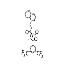 C[C@H]1[C@@H](c2cc(C(F)(F)F)cc(C(F)(F)F)c2)OC(=O)N1C(=O)CCc1cccc2ccccc12